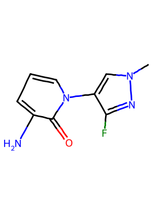 Cn1cc(-n2cccc(N)c2=O)c(F)n1